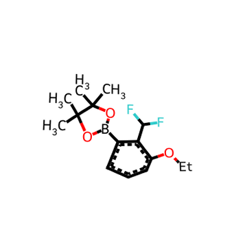 CCOc1cccc(B2OC(C)(C)C(C)(C)O2)c1C(F)F